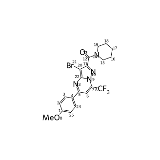 COc1ccc(-c2cc(C(F)(F)F)n3nc(C(=O)N4CCCCC4)c(Br)c3n2)cc1